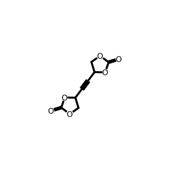 O=C1OCC(C#CC2COC(=O)O2)O1